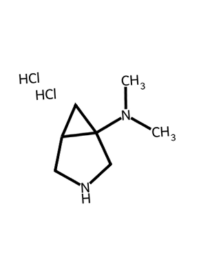 CN(C)C12CNCC1C2.Cl.Cl